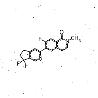 Cn1ccc2cc(-c3cc4c(cn3)C(F)(F)CC4)c(F)cc2c1=O